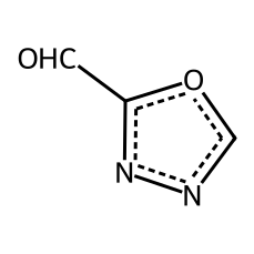 O=Cc1nnco1